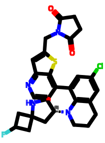 O=C1CCC(=O)N1Cc1cc2nccc(-c3cc(Cl)cc4c3N([C@H]3CNC5(CC(F)C5)C3)CCC4)c2s1